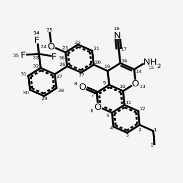 CCc1ccc2oc(=O)c3c(c2c1)OC(N)=C(C#N)C3c1ccc(OC)c(-c2ccccc2C(F)(F)F)c1